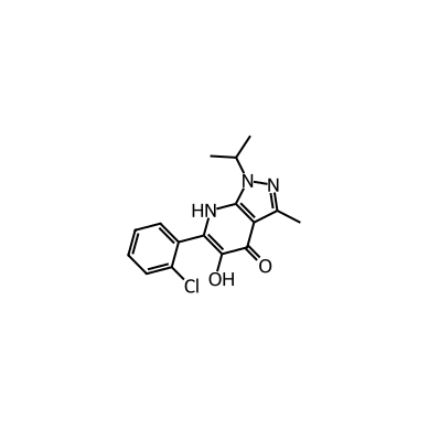 Cc1nn(C(C)C)c2[nH]c(-c3ccccc3Cl)c(O)c(=O)c12